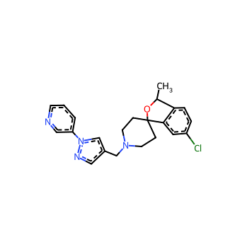 CC1OC2(CCN(Cc3cnn(-c4cccnc4)c3)CC2)c2cc(Cl)ccc21